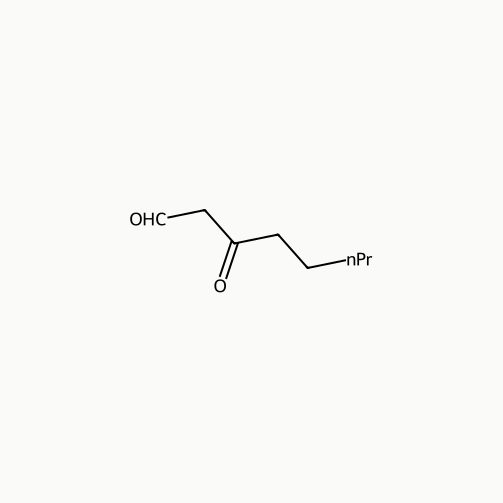 CCCCCC(=O)CC=O